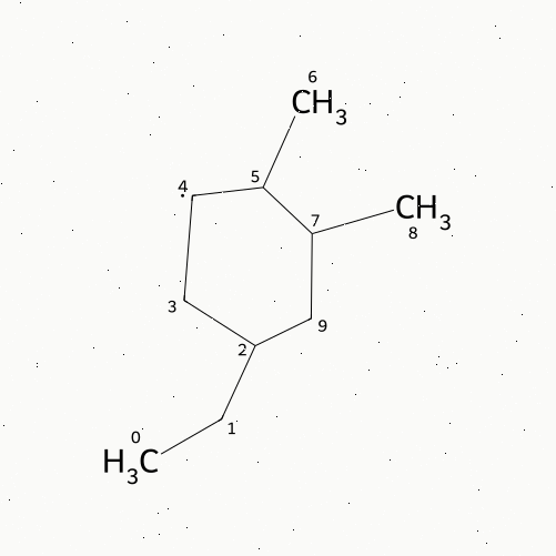 CCC1C[CH]C(C)C(C)C1